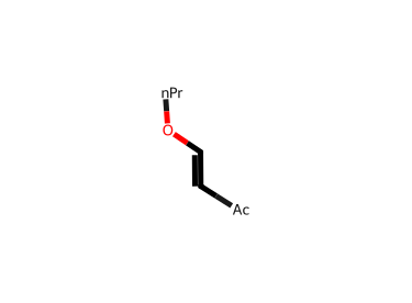 CCCO/C=C/C(C)=O